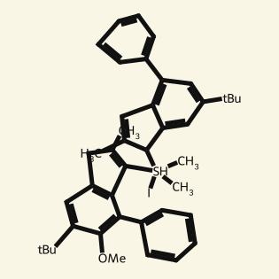 COc1c(C(C)(C)C)cc2c(c1-c1ccccc1)C([SH](C)(C)(I)C1C(C)=Cc3c(-c4ccccc4)cc(C(C)(C)C)cc31)=C(C)C2